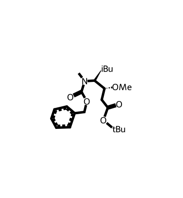 CC[C@H](C)C([C@@H](CC(=O)OC(C)(C)C)OC)N(C)C(=O)OCc1ccccc1